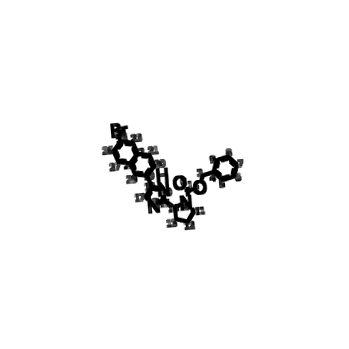 O=C(OCc1ccccc1)N1CCC[C@H]1c1ncc(-c2ccc3cc(Br)ccc3c2)[nH]1